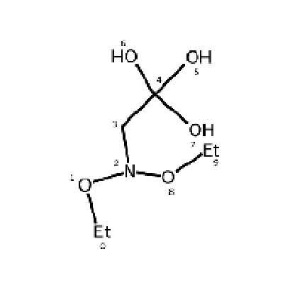 CCON(CC(O)(O)O)OCC